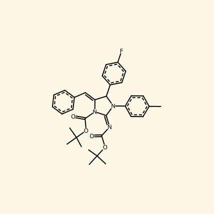 Cc1ccc(N2/C(=N/C(=O)OC(C)(C)C)N(C(=O)OC(C)(C)C)/C(=C\c3ccccc3)C2c2ccc(F)cc2)cc1